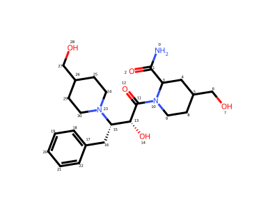 NC(=O)C1CC(CO)CCN1C(=O)[C@H](O)[C@H](Cc1ccccc1)N1CCC(CO)CC1